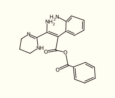 NC(C1=NCCCN1)=C(C(=O)OC(=O)c1ccccc1)c1ccccc1N